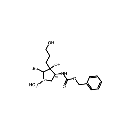 CC(C)(C)C1N(C(=O)O)C[C@H](NC(=O)OCc2ccccc2)C1(O)CCCO